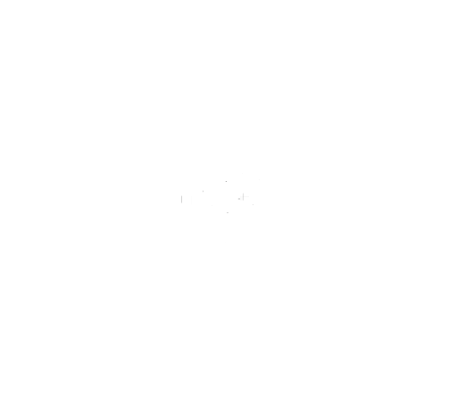 CC1=C(C)C(Cl)([SiH2]C2(Cl)C(C)=C(C)c3ccccc32)c2ccccc21.[Hf]